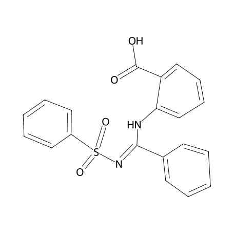 O=C(O)c1ccccc1N/C(=N\S(=O)(=O)c1ccccc1)c1ccccc1